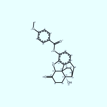 COc1ccc(C(=O)Oc2ccc3c4c2OC2C(=O)CC[C@]5(O)C(CCCC425)C3)cc1